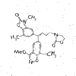 COc1noc2c(C)cc(/C(=C\CCN3CCOC3=O)c3cc(C)c4oc(=O)n(C)c4c3)cc12